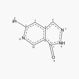 CC(C)c1cc2cn[nH]c(=O)c2cn1